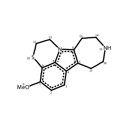 COc1ccc2c3c(n4c2c1SCC4)CCNCC3